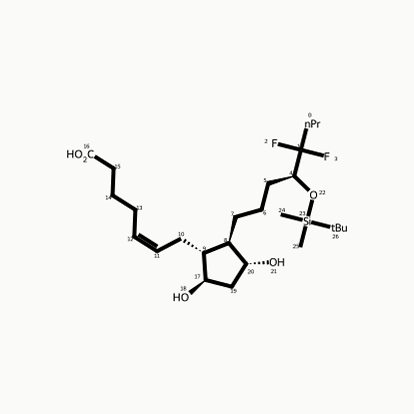 CCCC(F)(F)[C@H](CCC[C@@H]1[C@@H](C/C=C\CCCC(=O)O)[C@H](O)C[C@H]1O)O[Si](C)(C)C(C)(C)C